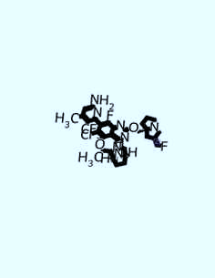 Cc1cc(N)nc(-c2c(Cl)c3c4c(nc(OC[C@@]56CCCN5C/C(=C\F)C6)nc4c2F)N2C[C@H]4CC[C@H](N4)C2C(C)O3)c1C(F)(F)F